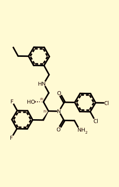 CCc1cccc(CNC[C@@H](O)[C@H](Cc2cc(F)cc(F)c2)N(C(=O)CN)C(=O)c2ccc(Cl)c(Cl)c2)c1